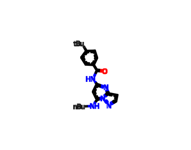 CCCCNc1cc(NC(=O)c2ccc(C(C)(C)C)cc2)nc2ccnn12